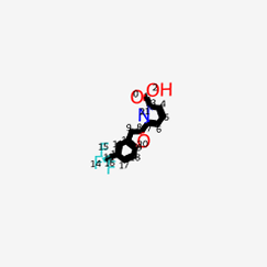 O=C(O)c1cccc(C2Cc3cc(C(F)(F)F)ccc3O2)n1